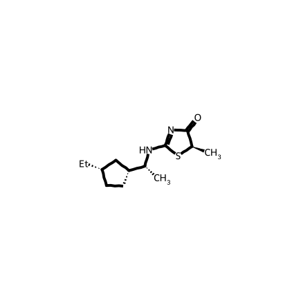 CC[C@H]1CC[C@@H]([C@@H](C)NC2=NC(=O)[C@@H](C)S2)C1